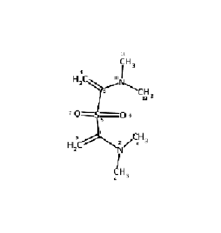 C=C(N(C)C)S(=O)(=O)C(=C)N(C)C